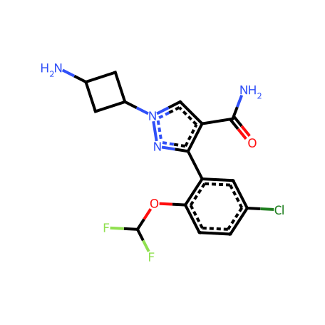 NC(=O)c1cn(C2CC(N)C2)nc1-c1cc(Cl)ccc1OC(F)F